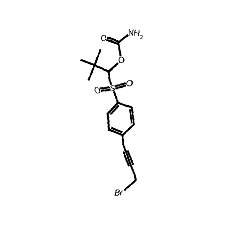 CC(C)(C)C(OC(N)=O)S(=O)(=O)c1ccc(C#CCBr)cc1